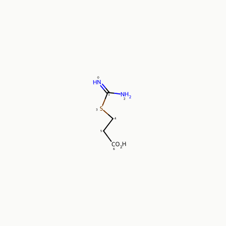 N=C(N)SCCC(=O)O